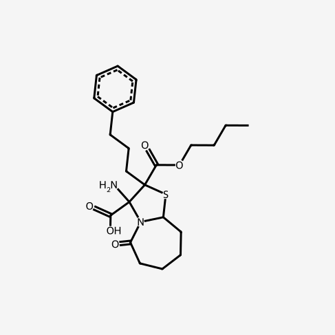 CCCCOC(=O)C1(CCCc2ccccc2)SC2CCCCC(=O)N2C1(N)C(=O)O